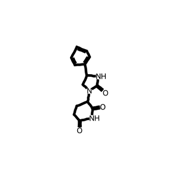 O=C1CCC(N2CC(c3ccccc3)NC2=O)C(=O)N1